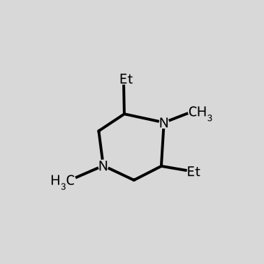 CCC1CN(C)CC(CC)N1C